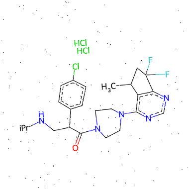 CC(C)NCC(C(=O)N1CCN(c2ncnc3c2C(C)CC3(F)F)CC1)c1ccc(Cl)cc1.Cl.Cl